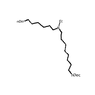 CCCCCCCCCCCCCCCCCCN(CC)CCCCCCCCCCCCCCCC